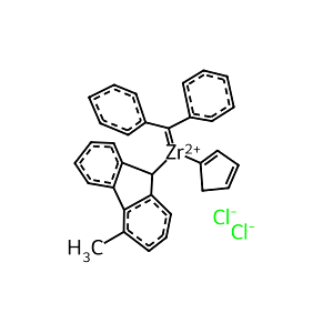 Cc1cccc2c1-c1ccccc1[CH]2[Zr+2]([C]1=CC=CC1)=[C](c1ccccc1)c1ccccc1.[Cl-].[Cl-]